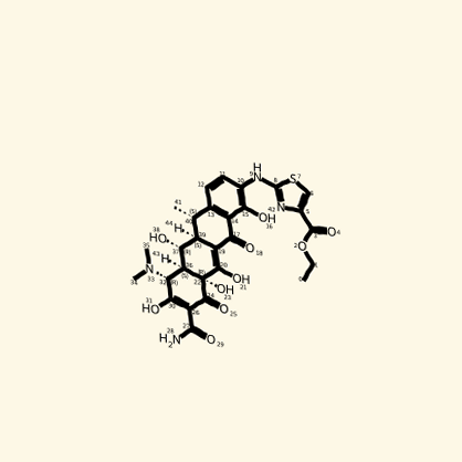 CCOC(=O)c1csc(Nc2ccc3c(c2O)C(=O)C2=C(O)[C@@]4(O)C(=O)C(C(N)=O)=C(O)[C@H](N(C)C)[C@H]4[C@H](O)[C@H]2[C@@H]3C)n1